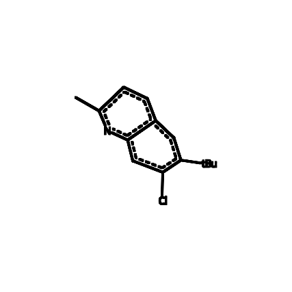 Cc1ccc2cc(C(C)(C)C)c(Cl)cc2n1